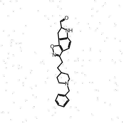 O=CC1Cc2c(ccc3c(CCC4CCN(Cc5ccccc5)CC4)noc23)N1